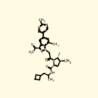 CC(=O)c1nn(CC(=O)N2[C@H](I)[C@@H](C)C[C@H]2C(=O)NC(C)CC2CCC2)c2c(C)cc(-c3cnc(C)nc3)cc12